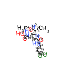 CCOc1ncc(C)cc1-c1cc(CNC(=O)O)cc(C(=O)NCc2ccc(Cl)c(Cl)c2)n1